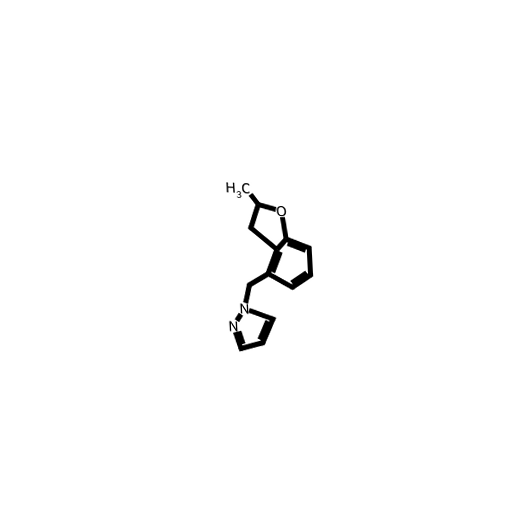 CC1Cc2c(Cn3cccn3)cccc2O1